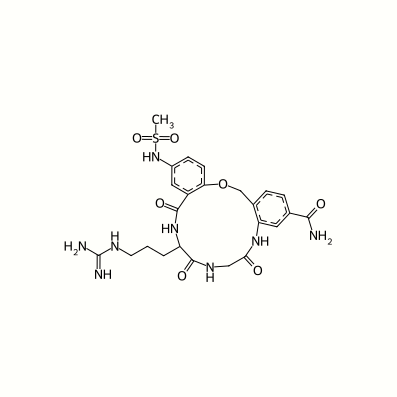 CS(=O)(=O)Nc1ccc2c(c1)C(=O)NC(CCCNC(=N)N)C(=O)NCC(=O)Nc1cc(C(N)=O)ccc1CO2